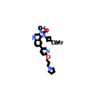 COC1CC(n2c(=O)n(C)c3cnc4ccc(-c5ccc(OCCCN6CCCC6)nc5)cc4c32)C1